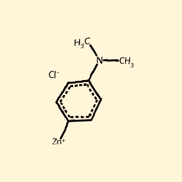 CN(C)c1cc[c]([Zn+])cc1.[Cl-]